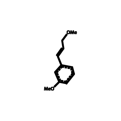 COCC=Cc1cc[c]c(OC)c1